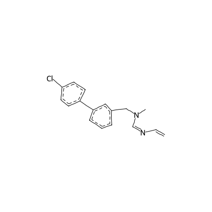 C=C/N=C\N(C)Cc1cccc(-c2ccc(Cl)cc2)c1